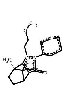 COCCn1c2c(c(=O)n1-c1ccccc1)C1CC[C@]2(C)C1(C)C